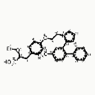 CCOC(Cc1ccc(OCCn2cccc2-c2cc(C)ccc2-c2ccccc2)cc1)C(=O)O